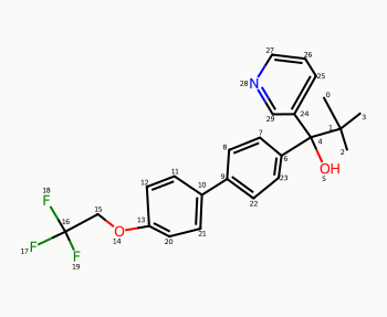 CC(C)(C)C(O)(c1ccc(-c2ccc(OCC(F)(F)F)cc2)cc1)c1cccnc1